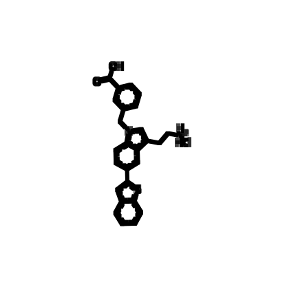 Cl.NCCc1cn(Cc2cccc(C(=O)O)c2)c2ccc(-c3cc4ccccc4s3)cc12